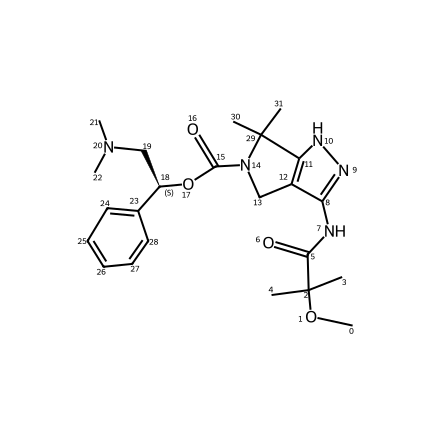 COC(C)(C)C(=O)Nc1n[nH]c2c1CN(C(=O)O[C@H](CN(C)C)c1ccccc1)C2(C)C